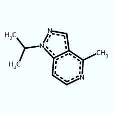 Cc1nccc2c1cnn2C(C)C